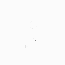 Cc1ccc(C2CN(C(C)I)C2)cc1